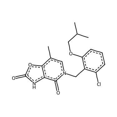 Cc1cn(Cc2c(Cl)cccc2OCC(C)C)c(=O)c2[nH]c(=O)oc12